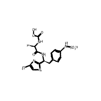 CCc1csc([C@H](Cc2ccc(NS(=O)(=O)O)cc2)NC(=O)C(NC(=O)OO)C(C)C)n1